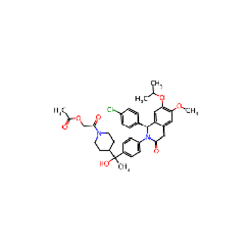 COc1cc2c(cc1OC(C)C)[C@H](c1ccc(Cl)cc1)N(c1ccc(C(C)(O)C3CCN(C(=O)COC(C)=O)CC3)cc1)C(=O)C2